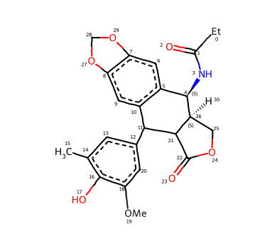 CCC(=O)N[C@@H]1c2cc3c(cc2C(c2cc(C)c(O)c(OC)c2)C2C(=O)OC[C@@H]21)OCO3